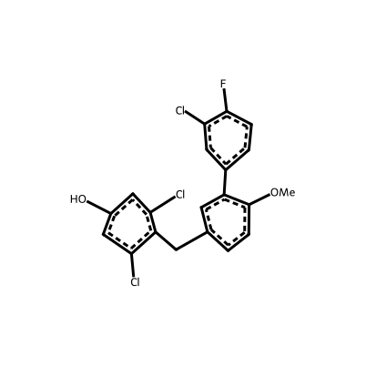 COc1ccc(Cc2c(Cl)cc(O)cc2Cl)cc1-c1ccc(F)c(Cl)c1